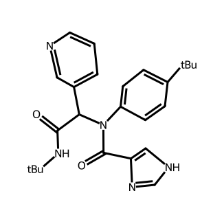 CC(C)(C)NC(=O)C(c1cccnc1)N(C(=O)c1c[nH]cn1)c1ccc(C(C)(C)C)cc1